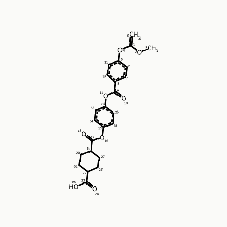 C=C(OC)Oc1ccc(C(=O)Oc2ccc(OC(=O)C3CCC(C(=O)O)CC3)cc2)cc1